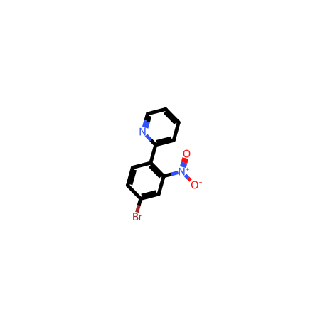 O=[N+]([O-])c1cc(Br)ccc1-c1ccccn1